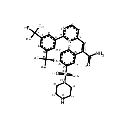 NC(=O)/C(=C/c1ccnc(-c2cc(C(F)(F)F)cc(C(F)(F)F)c2)n1)c1cccc(S(=O)(=O)N2CCNCC2)c1